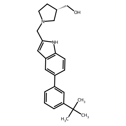 CC(C)(C)c1cccc(-c2ccc3[nH]c(CN4CC[C@H](CO)C4)cc3c2)c1